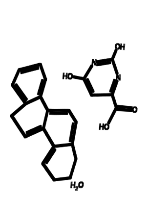 C1=c2c(ccc3c2=CCc2ccccc2-3)CCC1.O.O=C(O)c1cc(O)nc(O)n1